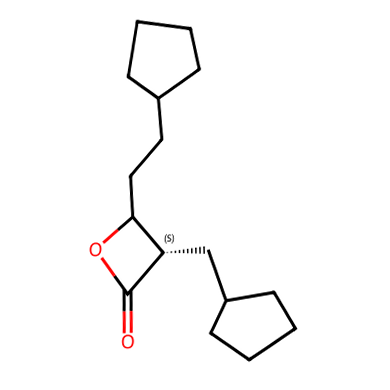 O=C1OC(CCC2CCCC2)[C@@H]1CC1CCCC1